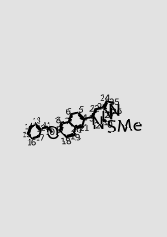 CSc1nc(-c2ccc3cc(OCc4ccccc4)ccc3c2)cc2ccnn12